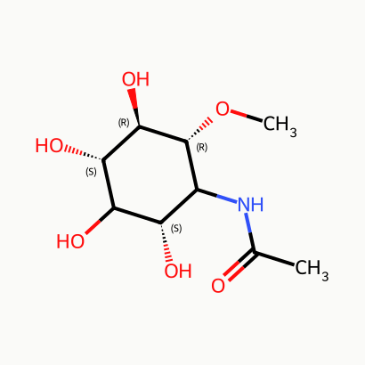 CO[C@@H]1C(NC(C)=O)[C@H](O)C(O)[C@H](O)[C@H]1O